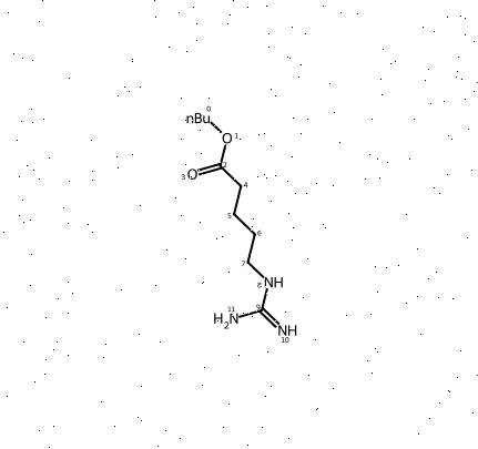 CCCCOC(=O)CCCCNC(=N)N